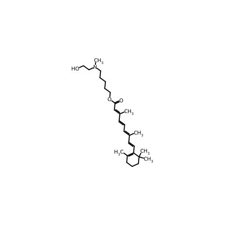 CC1=C(/C=C/C(C)=C/C=C/C(C)=C/C(=O)OCCCCCN(C)CCO)C(C)(C)CCC1